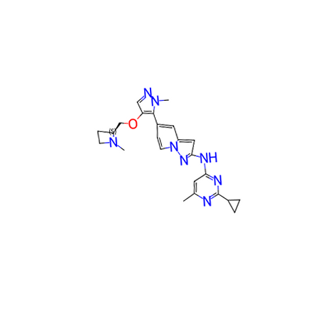 Cc1cc(Nc2cc3cc(-c4c(OC[C@@H]5CCN5C)cnn4C)ccn3n2)nc(C2CC2)n1